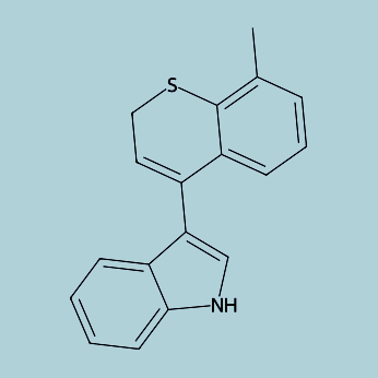 Cc1cccc2c1SCC=C2c1c[nH]c2ccccc12